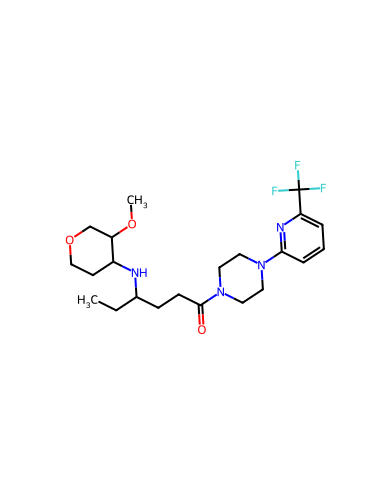 CCC(CCC(=O)N1CCN(c2cccc(C(F)(F)F)n2)CC1)NC1CCOCC1OC